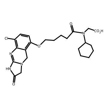 O=C(O)CN(C(=O)CCCCOc1ccc(Cl)c2c1CN1CC(=O)NC1=N2)C1CCCCC1